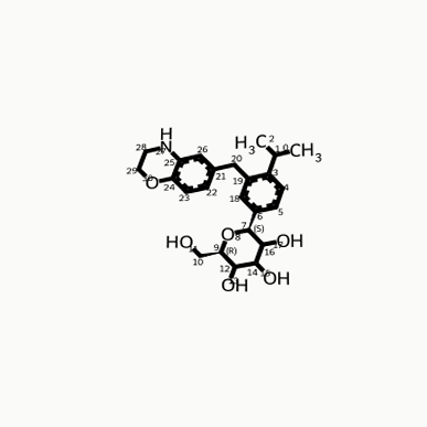 CC(C)c1ccc([C@@H]2O[C@H](CO)C(O)C(O)C2O)cc1Cc1ccc2c(c1)NCCO2